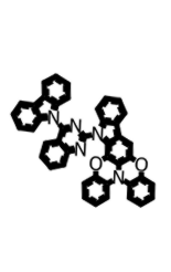 c1ccc2c(c1)Oc1cc3c4ccccc4n(-c4nc(-n5c6ccccc6c6ccccc65)c5ccccc5n4)c3c3c1N2c1ccccc1O3